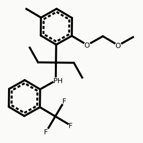 CCC(CC)(Pc1ccccc1C(F)(F)F)c1cc(C)ccc1OCOC